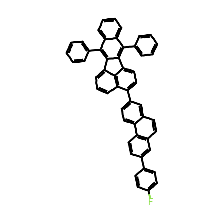 Fc1ccc(-c2ccc3c(ccc4cc(-c5ccc6c7c(cccc57)-c5c-6c(-c6ccccc6)c6ccccc6c5-c5ccccc5)ccc43)c2)cc1